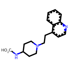 O=C(O)NC1CCN(CCc2ccnc3ccccc23)CC1